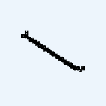 CCNCCOCCOCCOCCOCCOCCOCCOCCOCCOCCOCCC(=O)O